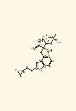 CS(=O)(=O)C[C@H](N)[C@](O)(Cc1nccc2oc(CCC3CC3)cc12)C(=O)O